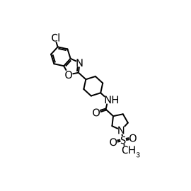 CS(=O)(=O)N1CCC(C(=O)NC2CCC(c3nc4cc(Cl)ccc4o3)CC2)C1